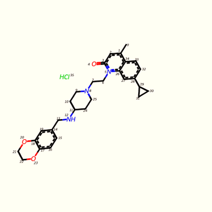 Cc1cc(=O)n(CCN2CCC(NCc3ccc4c(c3)OCCO4)CC2)c2cc(C3CC3)ccc12.Cl